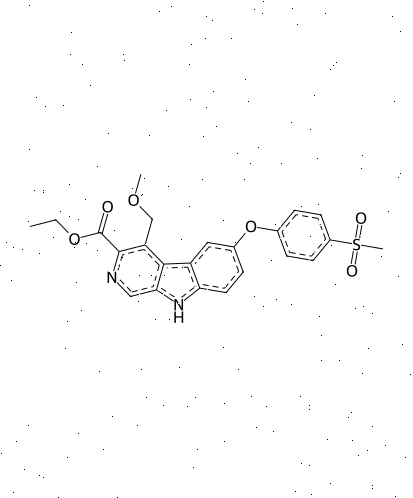 CCOC(=O)c1ncc2[nH]c3ccc(Oc4ccc(S(C)(=O)=O)cc4)cc3c2c1COC